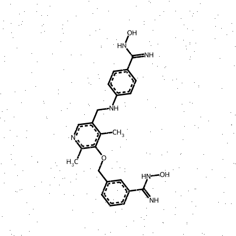 Cc1ncc(CNc2ccc(C(=N)NO)cc2)c(C)c1OCc1cccc(C(=N)NO)c1